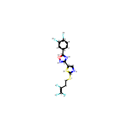 FC(F)=C(F)CCSc1ncc(-c2noc(-c3ccc(F)c(F)c3)n2)s1